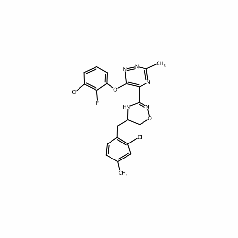 Cc1ccc(CC2CON=C(c3nc(C)nnc3Oc3cccc(Cl)c3F)N2)c(Cl)c1